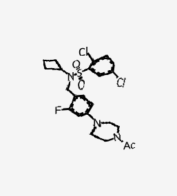 CC(=O)N1CCN(c2ccc(CN(C3CCC3)S(=O)(=O)c3cc(Cl)ccc3Cl)c(F)c2)CC1